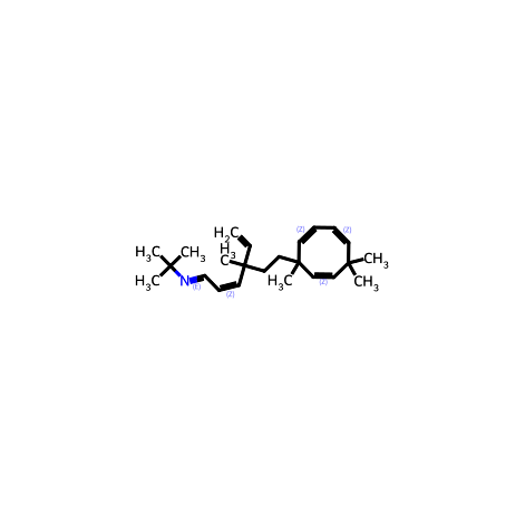 C=CC(C)(/C=C\C=N\C(C)(C)C)CCC1(C)/C=C\C=C/C(C)(C)/C=C\1